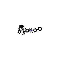 O=C(c1ccc(/N=N/c2ccc(-c3ccccc3)cc2)cc1Cl)N1Cc2cccn2Cc2ccccc21